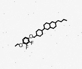 CCCCC1CCC2CC(C3CCC(COc4ccc(OCC)c(F)c4F)CC3)CCC2C1